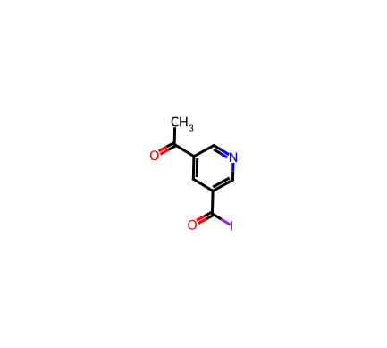 CC(=O)c1cncc(C(=O)I)c1